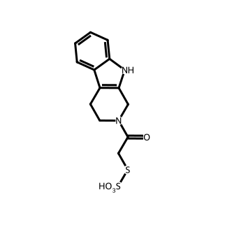 O=C(CSS(=O)(=O)O)N1CCc2c([nH]c3ccccc23)C1